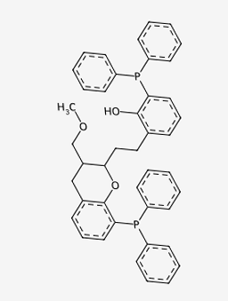 COCC1Cc2cccc(P(c3ccccc3)c3ccccc3)c2OC1CCc1cccc(P(c2ccccc2)c2ccccc2)c1O